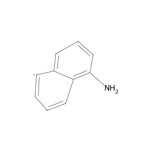 Nc1cccc2[c]cccc12